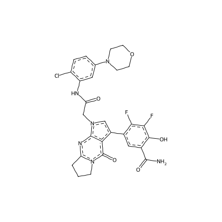 NC(=O)c1cc(-c2cn(CC(=O)Nc3cc(N4CCOCC4)ccc3Cl)c3nc4n(c(=O)c23)CCC4)c(F)c(F)c1O